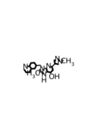 CN1Nc2c(O)cc(-c3cnn(C)c3)nc2N1Cc1ccc2ncccc2c1